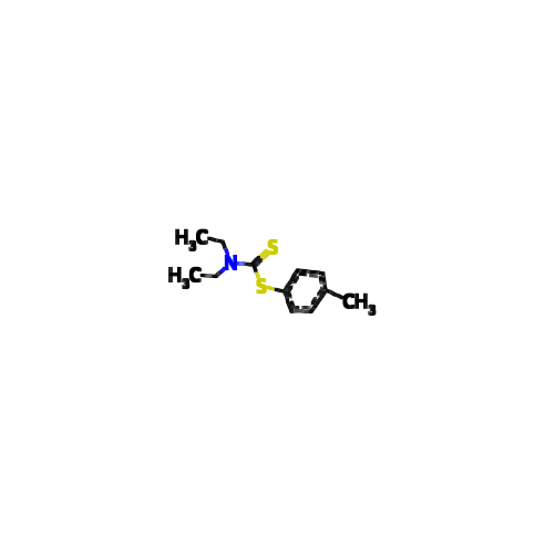 CCN(CC)C(=S)Sc1ccc(C)cc1